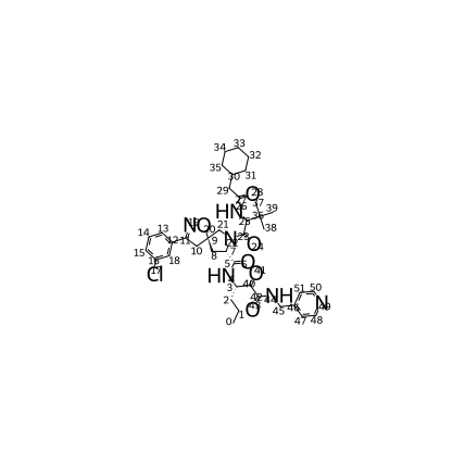 CCC[C@H](NC(=O)[C@@H]1C[C@]2(CC(c3cccc(Cl)c3)=NO2)CN1C(=O)[C@@H](NC(=O)CC1CCCCC1)C(C)(C)C)C(=O)C(=O)NCc1ccncc1